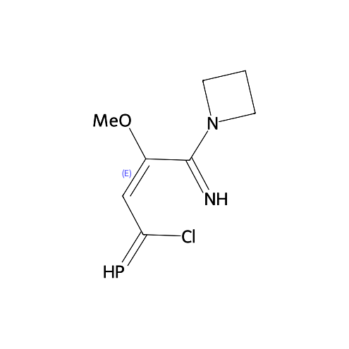 CO/C(=C/C(=P)Cl)C(=N)N1CCC1